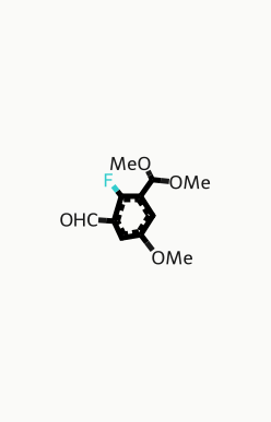 COc1cc(C=O)c(F)c(C(OC)OC)c1